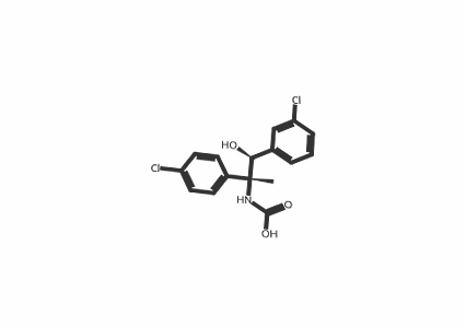 C[C@@](NC(=O)O)(c1ccc(Cl)cc1)[C@@H](O)c1cccc(Cl)c1